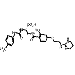 Cc1ccc(NC(=O)N[C@@H](CNC(=O)c2ccc(OCCNC3=NCCCN3)cc2O)C(=O)O)cc1